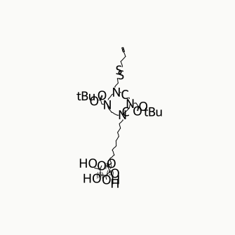 C#CCCCSSCCCN1CCCN(CC(=O)OC(C)(C)C)CCN(CCCCCCCCCCO[C@@H]2OC(CO)[C@@H](O)C(O)[C@@H]2O)CCCN(CC(=O)OC(C)(C)C)CC1